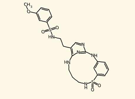 COc1cccc(S(=O)(=O)NCCc2cnc3nc2NCCCNS(=O)(=O)c2cccc(c2)N3)c1